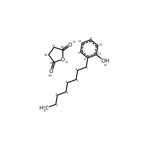 CCCCCCCCc1ccccc1O.O=C1CCC(=O)O1